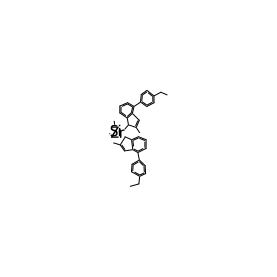 CCc1ccc(-c2cccc3c2C=C(C)[CH]3[Zr]([CH]2C(C)=Cc3c(-c4ccc(CC)cc4)cccc32)=[Si](C)C)cc1